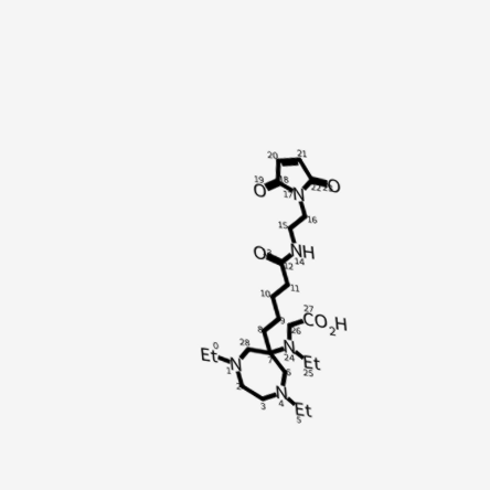 CCN1CCN(CC)CC(CCCCC(=O)NCCN2C(=O)C=CC2=O)(N(CC)CC(=O)O)C1